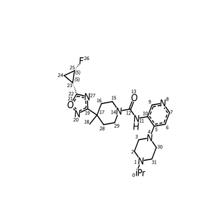 CC(C)N1CCN(c2ccncc2NC(=O)N2CCC(C)(c3noc([C@@H]4C[C@@H]4F)n3)CC2)CC1